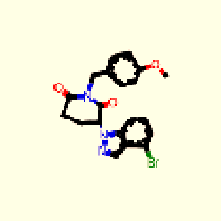 COc1ccc(CN2C(=O)CC[C@@H](n3ncc4c(Br)cccc43)C2=O)cc1